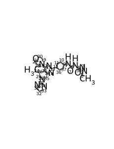 Cc1nnc(NC(=O)Nc2ccc(-c3nc4c(c(N5CCOCC5C)n3)CCN(c3ncccn3)C4)cc2)o1